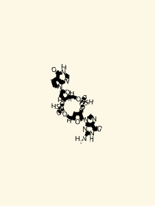 Nc1nc2c(ncn2[C@@H]2O[C@@H]3COP(=O)(S)O[C@H]4C[C@H](n5ccc6c(=O)[nH]cnc65)O[C@@H]4COP(=O)(S)O[C@@H]2C3)c(=O)[nH]1